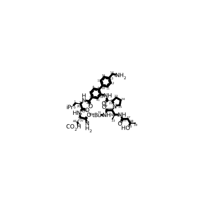 CC(C)C[C@@H](NC(=O)c1ccc(-c2ccc(CN)cc2)c(NC(=O)[C@@H]2CCCN2[C@H](C(=O)NC(C)(C)C)[C@H](C)NC(=O)C[C@@H](C)O)c1)C(=O)N[C@@H](CC(=O)O)C(N)=O